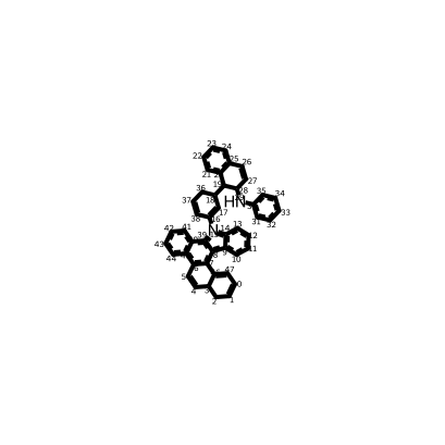 C1=CCC2C=Cc3c(c4c5ccccc5n(C5=CC(C6c7ccccc7C=CC6Nc6ccccc6)CC=C5)c4c4ccccc34)C2=C1